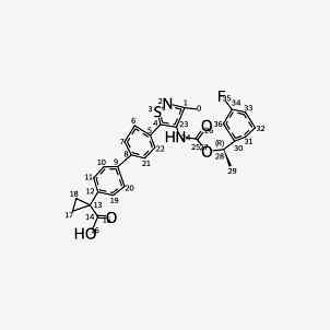 Cc1nsc(-c2ccc(-c3ccc(C4(C(=O)O)CC4)cc3)cc2)c1NC(=O)O[C@H](C)c1cccc(F)c1